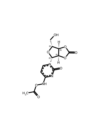 CC(=O)ONc1ccn([C@@H]2O[C@H](CO)[C@H]3OC(=O)O[C@H]32)c(=O)n1